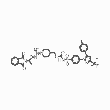 Cc1ccc(-c2cc(C(F)(F)F)nn2-c2ccc(S(=O)(=O)NC(=O)OCC3CCN([N+]([O-])=NOC(C)N4C(=O)c5ccccc5C4=O)CC3)cc2)cc1